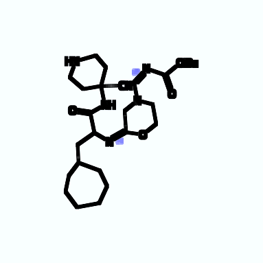 CC(C)COC(=O)/N=C\N1CCO/C(=N/C(CC2CCCCCC2)C(=O)NC2(C#N)CCNCC2)C1